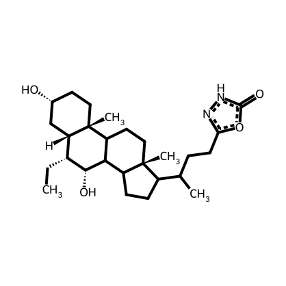 CC[C@H]1[C@@H](O)C2C3CCC(C(C)CCc4n[nH]c(=O)o4)[C@@]3(C)CCC2[C@@]2(C)CC[C@@H](O)C[C@@H]12